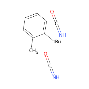 Cc1ccccc1C(C)(C)C.N=C=O.N=C=O